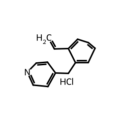 C=Cc1ccccc1Cc1ccncc1.Cl